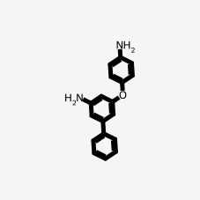 Nc1ccc(Oc2cc(N)cc(-c3ccccc3)c2)cc1